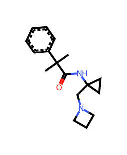 CC(C)(C(=O)NC1(CN2CCC2)CC1)c1ccccc1